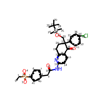 CCS(=O)(=O)c1ccc(CC(=O)Nc2ccc3c(n2)CCC(CO[Si](C)(C)C(C)(C)C)(c2ccc(Cl)cc2)C3=O)cc1